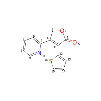 O=C1OCC(c2ccccn2)=C1c1cccs1